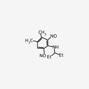 CCC(CC)Nc1c(N=O)cc(C)c(C)c1N=O